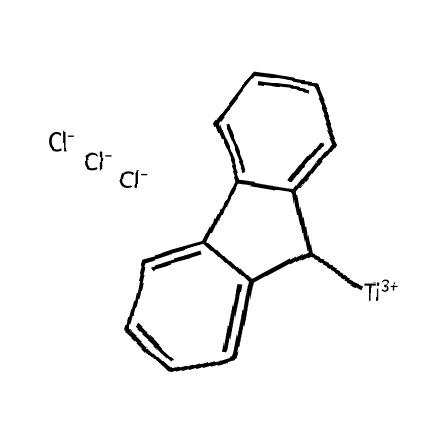 [Cl-].[Cl-].[Cl-].[Ti+3][CH]1c2ccccc2-c2ccccc21